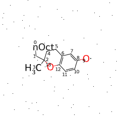 CCCCCCCCCC1(C)CCc2cc([O])ccc2O1